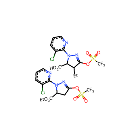 CCC1C(OS(=O)(=O)C(F)(F)F)=NN(c2ncccc2Cl)C1C(=O)O.CCOC(=O)C1CC(OS(=O)(=O)C(F)(F)F)=NN1c1ncccc1Cl